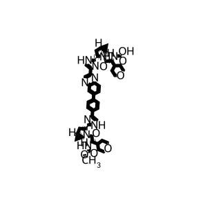 COC(=O)N[C@H](C(=O)N1[C@@H]2C[C@H]2C[C@H]1c1nc(-c2ccc(-c3ccc4nc(-c5c[nH]c([C@@H]6C[C@H]7C[C@H]7N6C(=O)[C@@H](NC(=O)O)C6CCOCC6)n5)cnc4c3)cc2)c[nH]1)C1CCOCC1